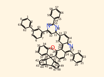 c1ccc(-c2cccc(-c3cc(-c4ccc5nc(-c6ccccc6)c6ccc7c(c6c5c4)Oc4ccccc4C74c5ccccc5-c5ccccc54)nc(-c4ccccc4)n3)c2)cc1